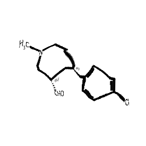 CN1CC[C@@H](c2ccc(Cl)cc2)[C@H](C=O)C1